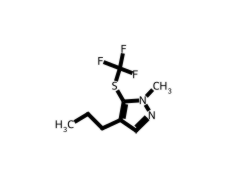 CCCc1[c]nn(C)c1SC(F)(F)F